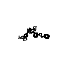 CCC1(O)CC(c2ncc3c(Cl)nc(-c4cccc(OCc5ccccc5)c4)cn23)C1